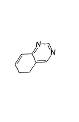 C1=Cc2ncncc2CC1